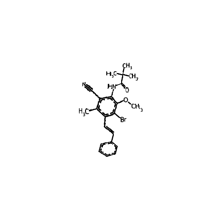 COc1c(Br)c(/C=C/c2ccccc2)c(C)c(C#N)c1NC(=O)C(C)(C)C